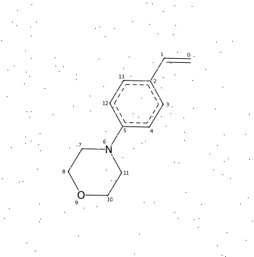 C=Cc1ccc(N2CCOCC2)cc1